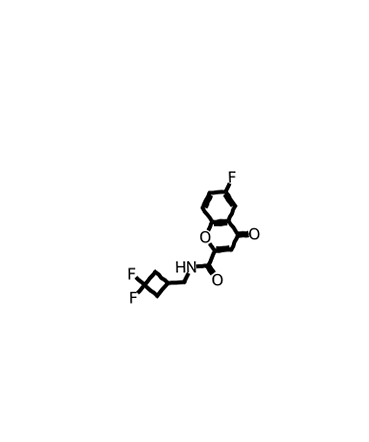 O=C(NCC1CC(F)(F)C1)c1cc(=O)c2cc(F)ccc2o1